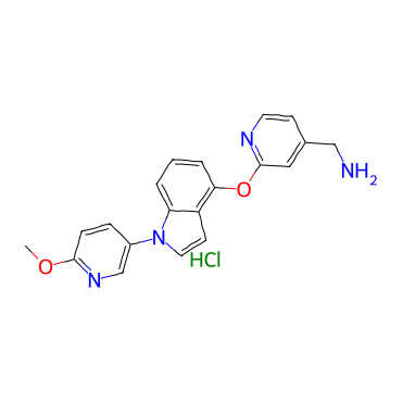 COc1ccc(-n2ccc3c(Oc4cc(CN)ccn4)cccc32)cn1.Cl